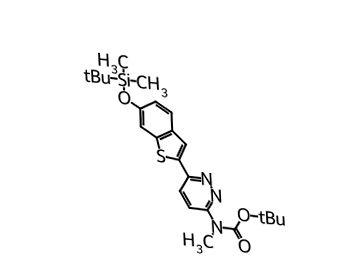 CN(C(=O)OC(C)(C)C)c1ccc(-c2cc3ccc(O[Si](C)(C)C(C)(C)C)cc3s2)nn1